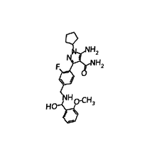 COc1ccccc1C(O)NCc1ccc(-c2nn(C3CCCC3)c(N)c2C(N)=O)c(F)c1